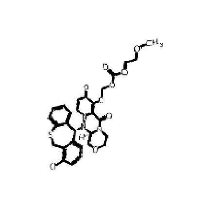 COCCOC(=O)OCOc1c2n(ccc1=O)N([C@@H]1c3ccccc3SCc3c(Cl)cccc31)[C@@H]1COCCN1C2=O